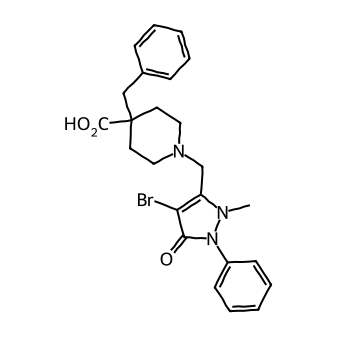 Cn1c(CN2CCC(Cc3ccccc3)(C(=O)O)CC2)c(Br)c(=O)n1-c1ccccc1